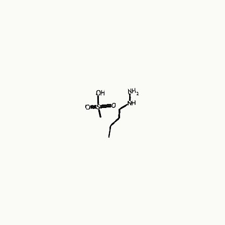 CCCCNN.CS(=O)(=O)O